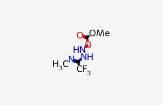 CN=C(NNOC(=O)OC)C(F)(F)F